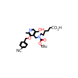 Cc1ncc(CO)c(CN(CCCCCC(=O)O)C(=O)OC(C)(C)C)c1OCc1ccc(C#N)cc1